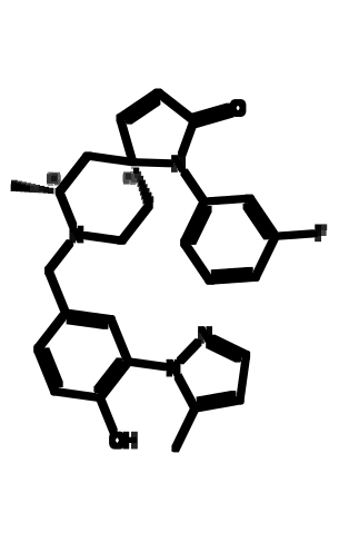 Cc1ccnn1-c1cc(CN2CC[C@@]3(C=CC(=O)N3c3cccc(F)c3)C[C@H]2C)ccc1O